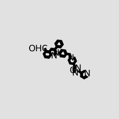 O=CC1=C2C=C(c3ccccc3)N(c3ccc(CN4CCC(c5nc(-c6cccnc6)no5)CC4)cc3)N=C2C=CC1